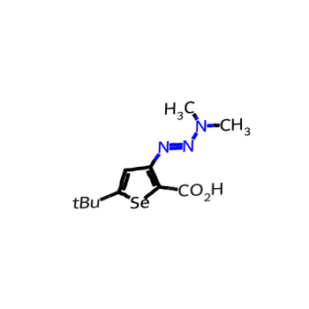 CN(C)/N=N/c1cc(C(C)(C)C)[se]c1C(=O)O